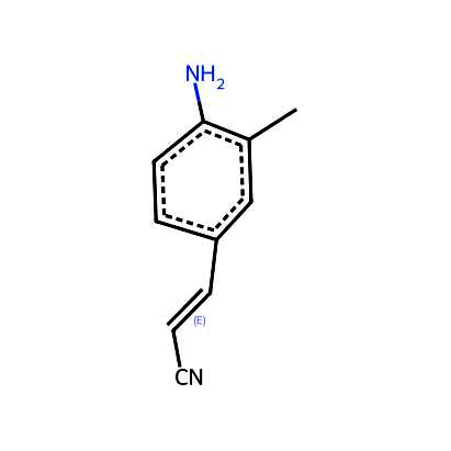 Cc1cc(/C=C/C#N)ccc1N